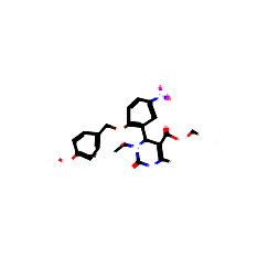 CCOC(=O)C1=C(C)NC(=O)N(C(C)=O)C1c1cc([N+](=O)[O-])ccc1SCc1ccc(OC)cc1